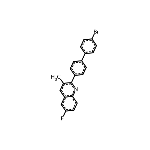 Cc1cc2cc(F)ccc2nc1-c1ccc(-c2ccc(Br)cc2)cc1